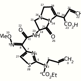 C=CCN(C(=O)OCC)c1nc(/C(=N/OC)C(=O)N[C@H]2CN3CC=C(C(C=C)C(=O)O)N3C2=O)cs1